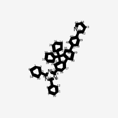 c1ccc(-c2nc(-c3ccccc3)nc(-c3ccc4c(c3)C(c3ccccc3)(c3ccccc3)c3cc(-c5ccc(-c6ccccn6)cc5)ccc3-4)n2)cc1